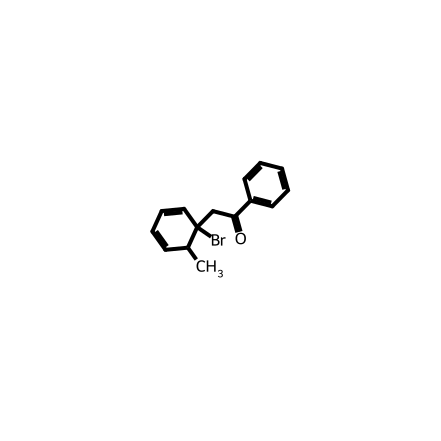 CC1C=CC=CC1(Br)CC(=O)c1ccccc1